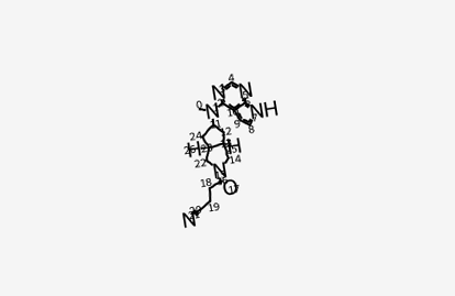 CN(c1ncnc2[nH]ccc12)C1C[C@@H]2CN(C(=O)CCC#N)C[C@@H]2C1